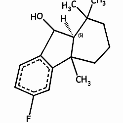 CC1(C)CCCC2(C)c3cc(F)ccc3C(O)[C@@H]12